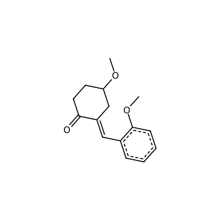 COc1ccccc1C=C1CC(OC)CCC1=O